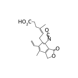 C=Cc1c(C)c2c(c(N=C=O)c1CC=C(C)CCC(=O)O)C(=O)OC2